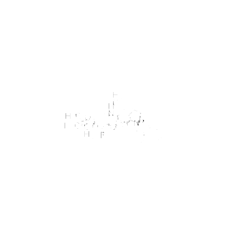 CCC(C(=O)NC(CC(=O)OC(C)(C)C)C(=O)CF)c1ccnn(CC2CCCCC2)c1=O